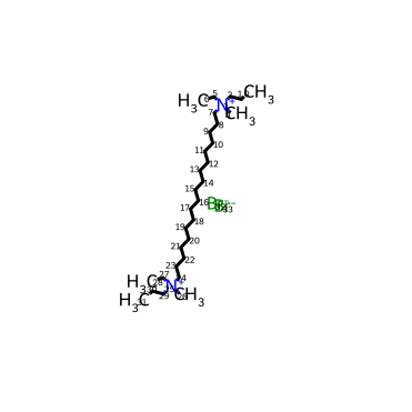 CCC[N+](C)(CC)CCCCCCCCCCCCCCCCCC[N+](C)(CC)CCC.[Br-].[Br-]